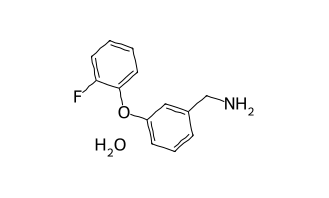 NCc1cccc(Oc2ccccc2F)c1.O